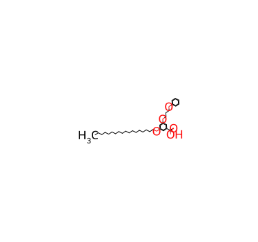 CCCCCCCCCCCCCCCCCCOc1cc(OCCCOc2ccccc2)cc(C(=O)O)c1